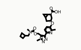 Cc1nc(-c2nnn(C)c2COC(=O)N(C)CC2CCC2)ccc1O[C@H]1CC2CC2[C@@H](C(=O)O)C1